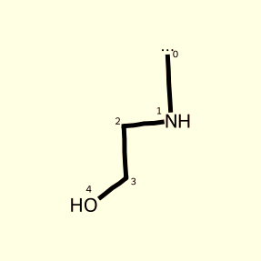 [C]NCCO